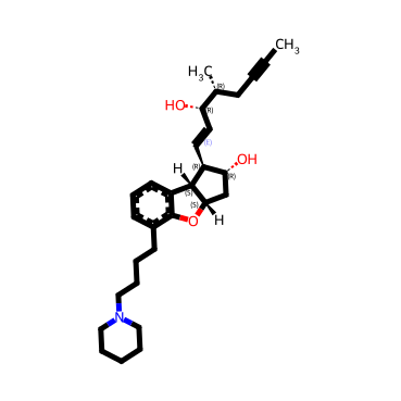 CC#CC[C@@H](C)[C@@H](O)/C=C/[C@@H]1[C@H]2c3cccc(CCCCN4CCCCC4)c3O[C@H]2C[C@H]1O